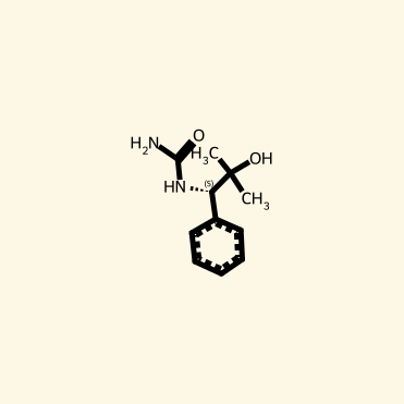 CC(C)(O)[C@@H](NC(N)=O)c1ccccc1